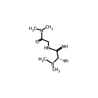 CC(C)[C@@H](C(=N)NCC(=O)N(C)C)N(C)C